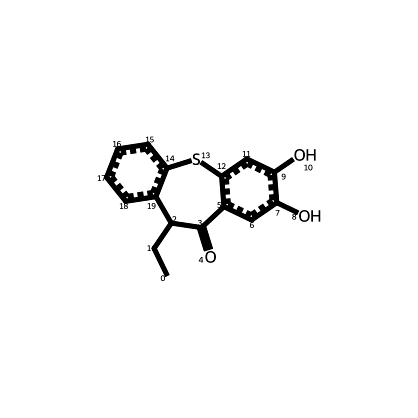 CCC1C(=O)c2cc(O)c(O)cc2Sc2ccccc21